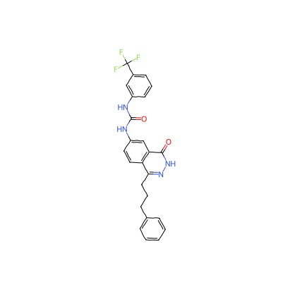 O=C(Nc1cccc(C(F)(F)F)c1)Nc1ccc2c(CCCc3ccccc3)n[nH]c(=O)c2c1